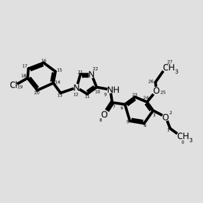 CCOc1ccc(C(=O)Nc2cn(Cc3cccc(Cl)c3)cn2)cc1OCC